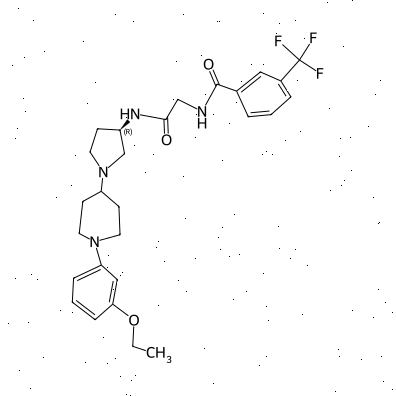 CCOc1cccc(N2CCC(N3CC[C@@H](NC(=O)CNC(=O)c4cccc(C(F)(F)F)c4)C3)CC2)c1